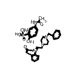 CC(=O)Nc1ccc(O)c([As](=O)(O)O)c1.O=C1Cc2ccccc2N1CCN1CCN(Cc2ccccc2)CC1